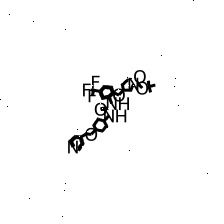 CC(C)(C)OC(=O)N1CCC(Oc2ccc(C(F)(F)F)cc2NC(=O)NC2CCC(OCc3ccncc3)CC2)C1